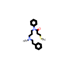 CCCN(CCCN(C(=O)CCSC(C)=O)c1ccccc1)CCc1ccccc1